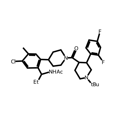 CCC(NC(C)=O)c1cc(Cl)c(C)cc1C1CCN(C(=O)C2CCN(C(C)(C)C)CC2c2ccc(F)cc2F)CC1